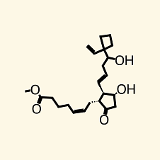 C=CC1(C(O)C/C=C/[C@H]2[C@H](O)CC(=O)[C@@H]2C/C=C\CCCC(=O)OC)CCC1